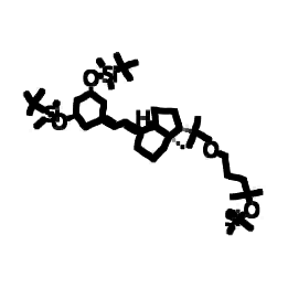 CC(C)(CCCOCC(C)(C)[C@H]1CC[C@H]2/C(=C/C=C3C[C@@H](O[Si](C)(C)C(C)(C)C)C[C@H](O[Si](C)(C)C(C)(C)C)C3)CCC[C@]12C)O[Si](C)(C)C